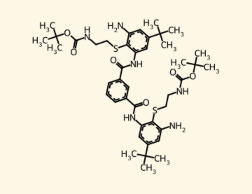 CC(C)(C)OC(=O)NCCSc1c(N)cc(C(C)(C)C)cc1NC(=O)c1cccc(C(=O)Nc2cc(C(C)(C)C)cc(N)c2SCCNC(=O)OC(C)(C)C)c1